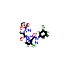 CC(NC(=O)OC(C)(C)C)C(=O)Nn1ccc(Br)c1C(=O)Nc1cc(F)cc(F)c1